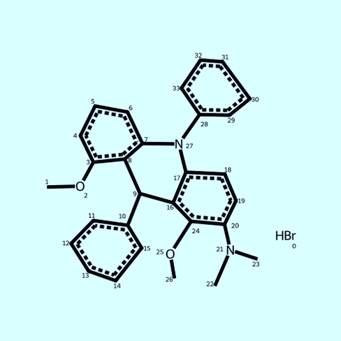 Br.COc1cccc2c1C(c1ccccc1)c1c(ccc(N(C)C)c1OC)N2c1ccccc1